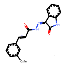 COc1cccc(/C=C/C(=O)N/N=C2\C(=O)Nc3ccccc32)c1